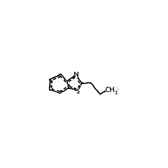 [CH2]CCc1nc2ccccc2s1